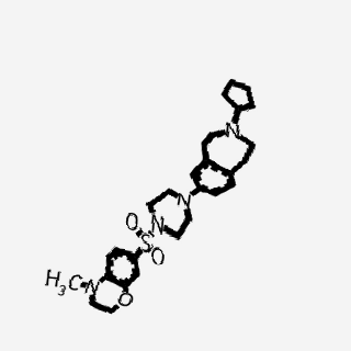 CN1CCOc2cc(S(=O)(=O)N3CCN(c4ccc5c(c4)CCN(C4CCCC4)CC5)CC3)ccc21